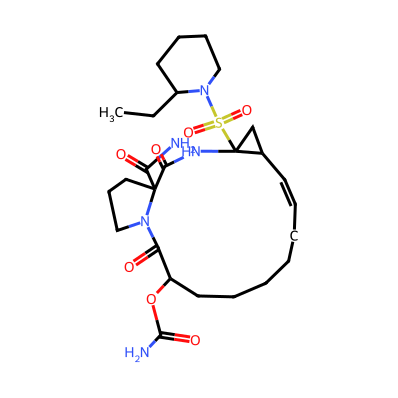 CCC1CCCCN1S(=O)(=O)C12CC1C=CCCCCCC(OC(N)=O)C(=O)N1CCCC1(C(N)=O)C(=O)N2